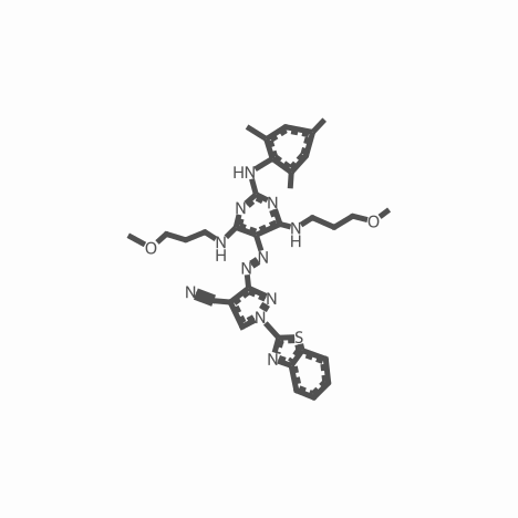 COCCCNc1nc(Nc2c(C)cc(C)cc2C)nc(NCCCOC)c1N=Nc1nn(-c2nc3ccccc3s2)cc1C#N